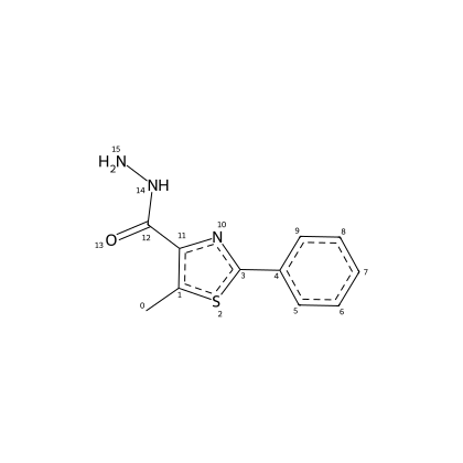 Cc1sc(-c2ccccc2)nc1C(=O)NN